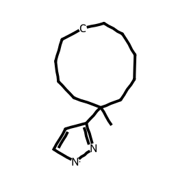 CC1(C2=N[N]C=C2)CCCCCCCCCC1